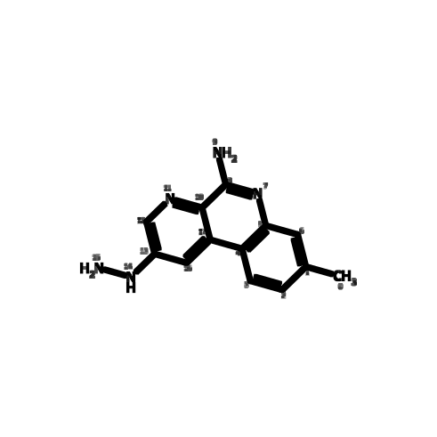 Cc1ccc2c(c1)nc(N)c1ncc(NN)cc12